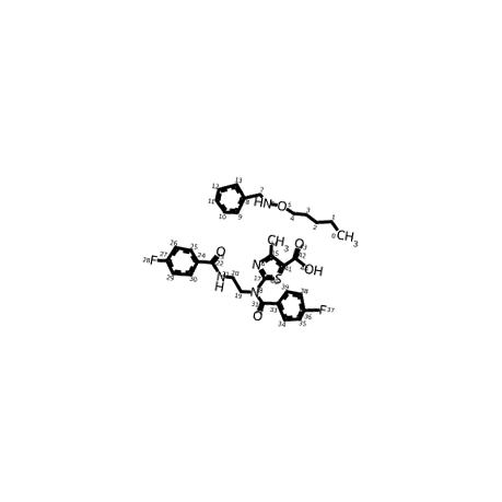 CCCCCONCc1ccccc1.Cc1nc(N(CCNC(=O)c2ccc(F)cc2)C(=O)c2ccc(F)cc2)sc1C(=O)O